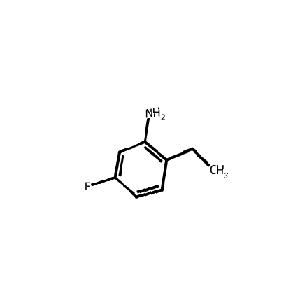 CCc1ccc(F)cc1N